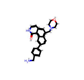 NCc1ccc(-c2ccc3c(CN4CCOCC4)cc4cc[nH]c(=O)c4c3c2)cc1